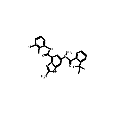 Cc1c(Cl)cccc1NC(=O)c1cc(N(N)C(=O)c2ccccc2C(F)(F)F)cc2[nH]c(N)nc12